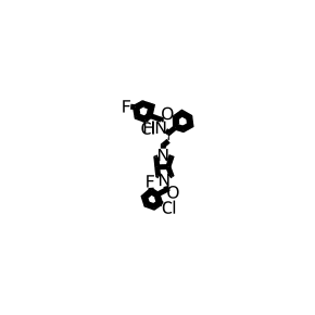 O=C(N[C@@H](CCN1CC2CN(C(=O)c3c(F)cccc3Cl)CC2C1)c1ccccc1)c1ccc(F)cc1Cl